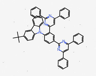 CC(C)(C)c1ccc2c(c1)c1ccccc1n2-c1ccc(-c2nc(-c3ccccc3)cc(-c3ccccc3)n2)cc1-c1cc(-c2ccccc2)nc(-c2ccccc2)n1